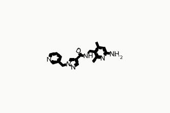 Cc1cc(N)nc(C)c1CNC(=O)c1cnn(Cc2cccnc2)c1